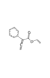 C=C=C(C(=O)OC=C)c1ccccc1